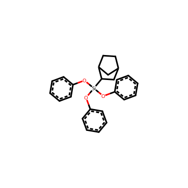 c1ccc(O[Si](Oc2ccccc2)(Oc2ccccc2)C2CC3CCC2C3)cc1